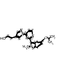 CC(C)Oc1ccc2nn(C)c(-c3nccc(-n4cc(CCO)cn4)n3)c2c1